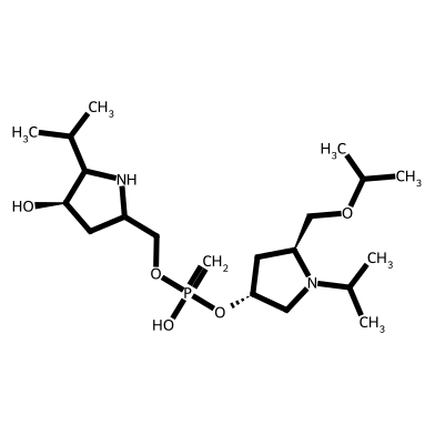 C=P(O)(OCC1C[C@@H](O)C(C(C)C)N1)O[C@@H]1C[C@@H](COC(C)C)N(C(C)C)C1